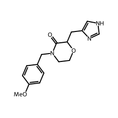 COc1ccc(CN2CCOC(Cc3c[nH]cn3)C2=O)cc1